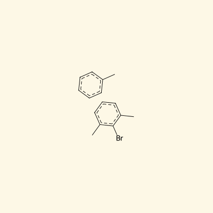 Cc1cccc(C)c1Br.Cc1ccccc1